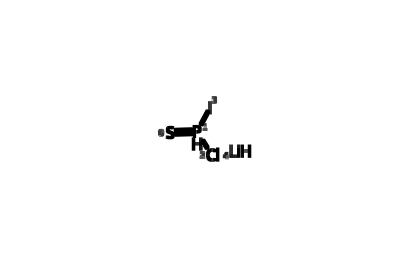 S=[PH](Cl)I.[LiH]